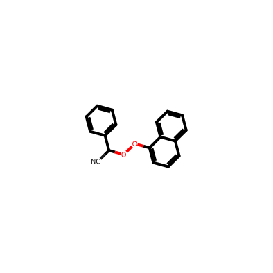 N#CC(OOc1cccc2ccccc12)c1ccccc1